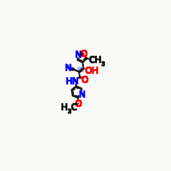 COc1ccc(NC(=O)/C(C#N)=C(\O)c2cnoc2C)cn1